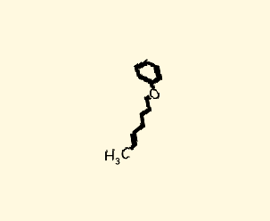 CC=CCCCCOc1cc[c]cc1